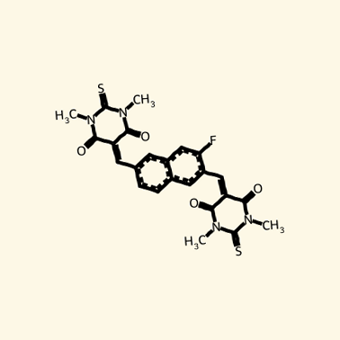 CN1C(=O)C(=Cc2ccc3cc(C=C4C(=O)N(C)C(=S)N(C)C4=O)c(F)cc3c2)C(=O)N(C)C1=S